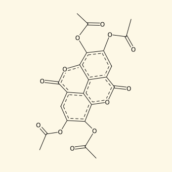 CC(=O)Oc1cc2c(=O)oc3c(OC(C)=O)c(OC(C)=O)cc4c(=O)oc(c1OC(C)=O)c2c34